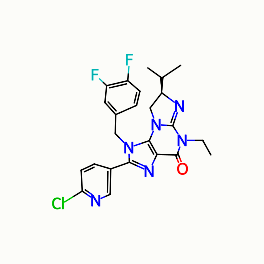 CCN1C(=O)c2nc(-c3ccc(Cl)nc3)n(Cc3ccc(F)c(F)c3)c2N2C[C@@H](C(C)C)N=C12